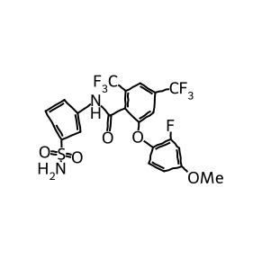 COc1ccc(Oc2cc(C(F)(F)F)cc(C(F)(F)F)c2C(=O)Nc2cccc(S(N)(=O)=O)c2)c(F)c1